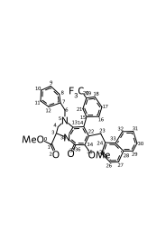 COC(=O)C1CN(Cc2ccccc2)c2c(-c3cccc(C(F)(F)F)c3)c(Cc3cccc4ccccc34)c(OC)c(=O)n21